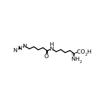 [N-]=[N+]=NCCCCC(=O)NCCCC[C@H](N)C(=O)O